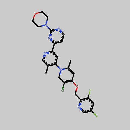 CC1=CC(OCc2ncc(F)cc2F)=C(Cl)CN1c1cc(-c2ccnc(N3CCOCC3)n2)ncc1C